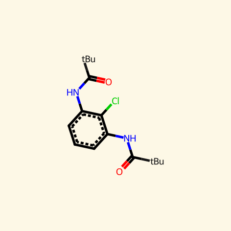 CC(C)(C)C(=O)Nc1cccc(NC(=O)C(C)(C)C)c1Cl